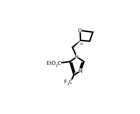 CCOC(=O)c1c(C(F)(F)F)ncn1C[C@@H]1CCO1